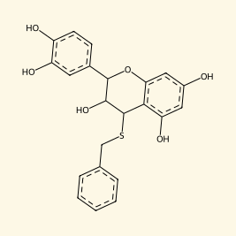 Oc1cc(O)c2c(c1)OC(c1ccc(O)c(O)c1)C(O)C2SCc1ccccc1